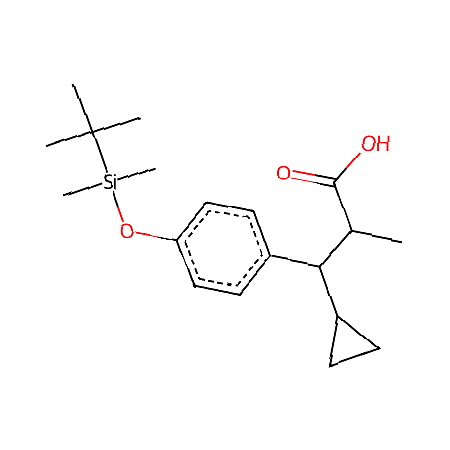 CC(C(=O)O)C(c1ccc(O[Si](C)(C)C(C)(C)C)cc1)C1CC1